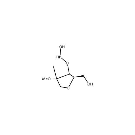 CO[C@@]1(C)CO[C@H](CO)C1OPO